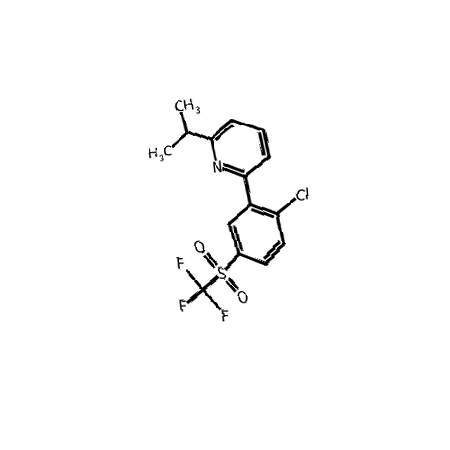 CC(C)c1cccc(-c2cc(S(=O)(=O)C(F)(F)F)ccc2Cl)n1